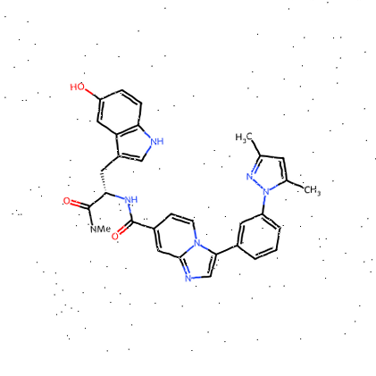 CNC(=O)[C@H](Cc1c[nH]c2ccc(O)cc12)NC(=O)c1ccn2c(-c3cccc(-n4nc(C)cc4C)c3)cnc2c1